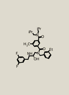 CCc1cccc(CN(C[C@@H](O)[C@@H](N)Cc2cc(F)cc(F)c2)C(=O)c2cc(C)cc(C(=O)N(CC(C)C)CC(C)C)c2)c1